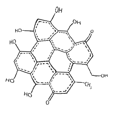 Cc1cc(=O)c2c(O)c3c(O)cc(O)c4c5c(O)cc(O)c6c(O)c7c(=O)cc(CO)c8c1c2c(c34)c(c65)c78